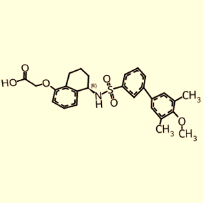 COc1c(C)cc(-c2cccc(S(=O)(=O)N[C@@H]3CCCc4c(OCC(=O)O)cccc43)c2)cc1C